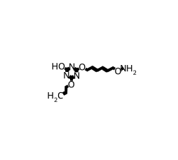 C=CCOc1nc(O)nc(OC/C=C/C=C/CON)n1